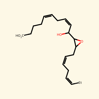 CC/C=C\C/C=C\CC1OC1C(O)/C=C\C/C=C\CCCC(=O)O